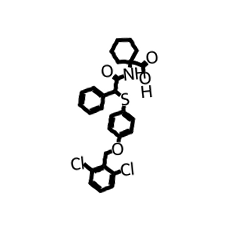 O=C(NC1(C(=O)O)CCCCC1)C(Sc1ccc(OCc2c(Cl)cccc2Cl)cc1)c1ccccc1